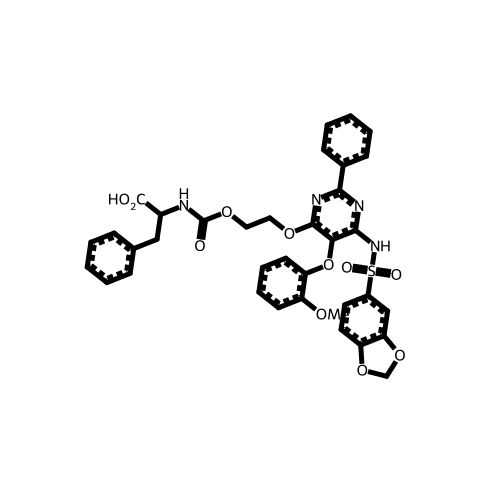 COc1ccccc1Oc1c(NS(=O)(=O)c2ccc3c(c2)OCO3)nc(-c2ccccc2)nc1OCCOC(=O)NC(Cc1ccccc1)C(=O)O